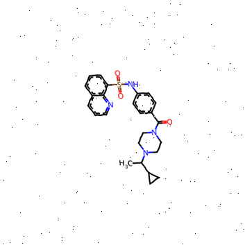 CC(C1CC1)N1CCN(C(=O)c2ccc(NS(=O)(=O)c3cccc4cccnc34)cc2)CC1